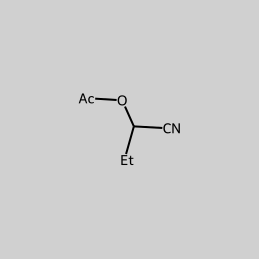 [CH2]C(=O)OC(C#N)CC